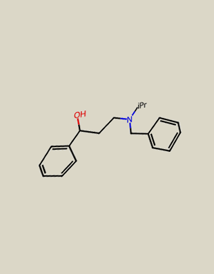 CC(C)N(CCC(O)c1ccccc1)Cc1ccccc1